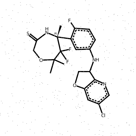 CC1(C)OCC(=S)N[C@](C)(c2cc(NC3COc4cc(Cl)cnc43)ccc2F)C1(F)F